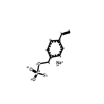 C=Cc1ccc(COS(=O)(=O)[S-])cc1.[Na+]